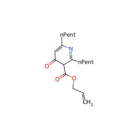 C=CCOC(=O)C1C(=O)C=C(CCCCC)N=C1CCCCC